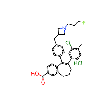 Cc1ccc(C2=C(c3ccc(CC4CN(CCCF)C4)cc3)c3ccc(C(=O)O)cc3CCC2)cc1Cl.Cl